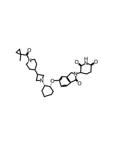 CC1(C(=O)N2CCC(C3CN([C@H]4CCCC[C@H]4Oc4ccc5c(c4)CN(C4CCC(=O)NC4=O)C5=O)C3)CC2)CC1